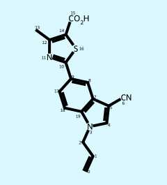 C=CCn1cc(C#N)c2cc(-c3nc(C)c(C(=O)O)s3)ccc21